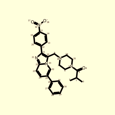 CC(C)C(=O)N1CCN(Cc2c(-c3ccc([N+](=O)[O-])cc3)nc3ccc(-c4ccccc4)cn23)CC1